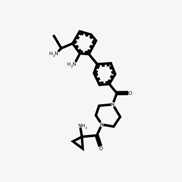 CC(N)c1cccc(-c2ccc(C(=O)N3CCN(C(=O)C4(N)CC4)CC3)cc2)c1N